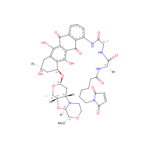 CO[C@H]1OCCN2[C@@H]1O[C@@H]1[C@H](C)O[C@@H](O[C@H]3C[C@](O)(C(C)=O)Cc4c(O)c5c(c(O)c43)C(=O)c3c(NC(=O)[C@H](C)NC(=O)[C@@H](NC(=O)CCCCCN4C(=O)C=CC4=O)C(C)C)cccc3C5=O)C[C@@H]12